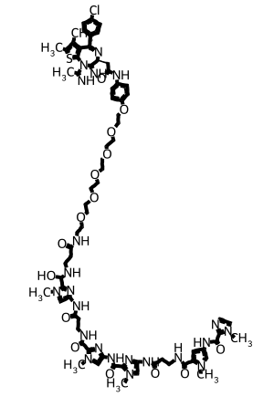 CC(=N)N1C(=N)[C@H](CC(=O)Nc2ccc(OCCOCCOCCOCCOCCOCCNC(=O)CCNC(O)c3nc(NC(=O)CCNC(=O)c4nc(NC(=O)c5nc(NC(=O)CCNC(=O)c6cc(NC(=O)c7nccn7C)cn6C)cn5C)cn4C)cn3C)cc2)N=C(c2ccc(Cl)cc2)c2c1sc(C)c2C